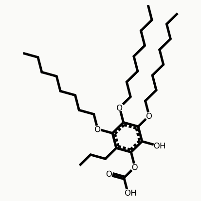 CCCCCCCCOc1c(O)c(OC(=O)O)c(CCC)c(OCCCCCCCC)c1OCCCCCCCC